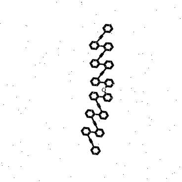 C(#Cc1ccccc1-c1ccccc1C#Cc1ccccc1-c1ccccc1C#Cc1ccccc1-c1ccccc1Oc1ccccc1-c1ccccc1C#Cc1ccccc1-c1ccccc1C#Cc1ccccc1-c1ccccc1C#Cc1ccccc1)c1ccccc1